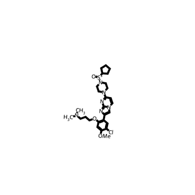 COc1cc(OCCCN(C)C)c(-c2cn3ccc(N4CCN([S+]([O-])C5CCCC5)CC4)nc3n2)cc1Cl